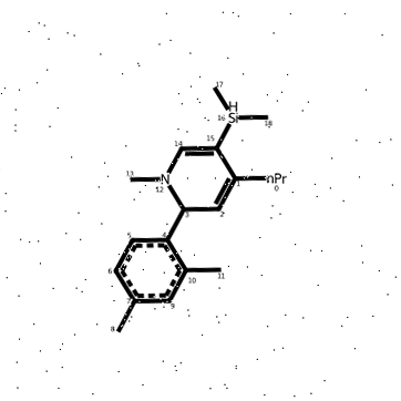 CCCC1=CC(c2ccc(C)cc2C)N(C)C=C1[SiH](C)C